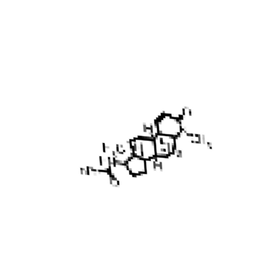 CCCC(=O)NC1CC[C@H]2[C@@H]3CCC4N(C)C(=O)C=C[C@]4(C)[C@@H]3CC[C@]12C